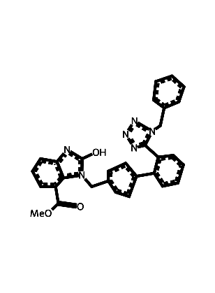 COC(=O)c1cccc2nc(O)n(Cc3ccc(-c4ccccc4-c4nnnn4Cc4ccccc4)cc3)c12